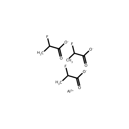 CC(F)C(=O)[O-].CC(F)C(=O)[O-].CC(F)C(=O)[O-].[Al+3]